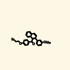 COc1cccc(-c2ccc3ccccc3c2C(=O)c2ccc(OCCBr)cc2)c1